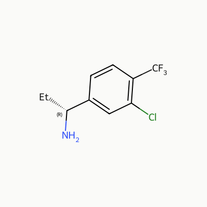 CC[C@@H](N)c1ccc(C(F)(F)F)c(Cl)c1